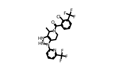 CC1C2=C(CCN1C(=O)c1cccc(C(F)(F)F)c1Cl)N(c1cccc(C(F)(F)F)n1)NN2